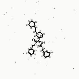 O=C(NN(C(=O)OCc1ccccc1)C1CCCN(CCC2CCCCC2)C1)OCc1ccccc1